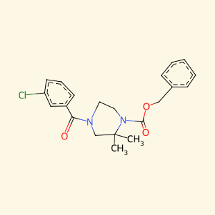 CC1(C)CN(C(=O)c2cccc(Cl)c2)CCN1C(=O)OCc1ccccc1